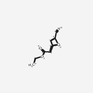 CCOC(=O)C=C1CC(C#N)O1